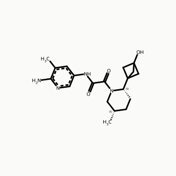 Cc1cc(NC(=O)C(=O)N2C[C@@H](C)CC[C@H]2C23CC(O)(C2)C3)cnc1N